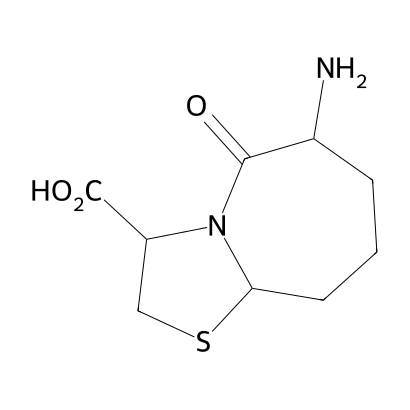 NC1CCCC2SCC(C(=O)O)N2C1=O